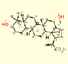 C=C(C(=O)O)[C@@H]1CC[C@]2(CO)CC[C@]3(C)[C@H](CC[C@@H]4[C@@]5(C)CC[C@H](O)C(C)(C)[C@@H]5CC[C@]43C)[C@@H]12